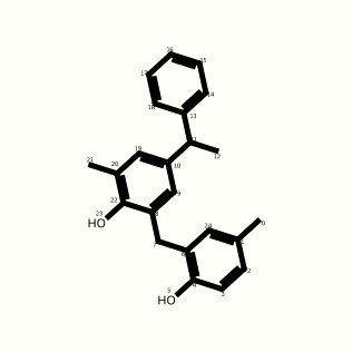 Cc1ccc(O)c(Cc2cc(C(C)c3ccccc3)cc(C)c2O)c1